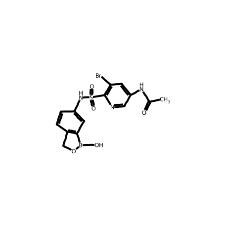 CC(=O)Nc1cnc(S(=O)(=O)Nc2ccc3c(c2)B(O)OC3)c(Br)c1